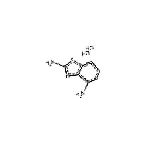 Cl.Cl.Nc1nc2c(N)cccc2s1